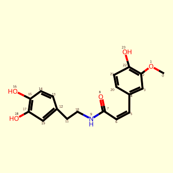 COc1cc(/C=C\C(=O)NCCc2ccc(O)c(O)c2)ccc1O